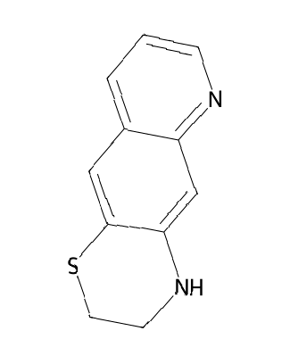 c1cnc2cc3c(cc2c1)SCCN3